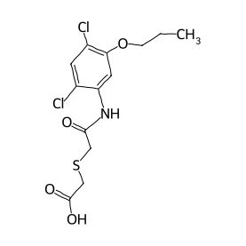 CCCOc1cc(NC(=O)CSCC(=O)O)c(Cl)cc1Cl